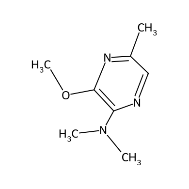 COc1nc(C)cnc1N(C)C